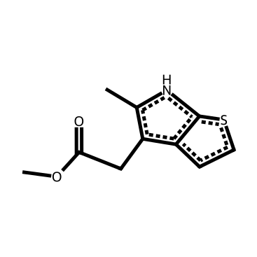 COC(=O)Cc1c(C)[nH]c2sccc12